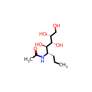 CCC[C@H](NC(C)=O)[C@@H](O)[C@@H](O)[C@H](O)CO